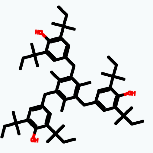 CCC(C)(C)c1cc(Cc2c(C)c(Cc3cc(C(C)(C)CC)c(O)c(C(C)(C)CC)c3)c(C)c(Cc3cc(C(C)(C)CC)c(O)c(C(C)(C)CC)c3)c2C)cc(C(C)(C)CC)c1O